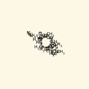 CC[C@H]1OC(=O)C(C)(F)C(=O)[C@H](C)[C@@H](O[C@@H]2OC(C)CC(N(C)C)C2P=O)[C@](C)(OC)CC(C)(F)CN[C@H](C)[C@H]2N(CCCCN=[N+]=[N-])C(=O)O[C@]12C